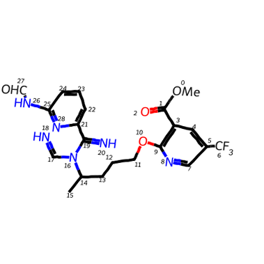 COC(=O)c1cc(C(F)(F)F)cnc1OCCCC(C)N(C=N)C(=N)c1cccc(NC=O)n1